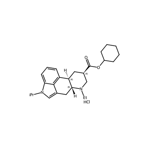 CCN1C[C@H](C(=O)OC2CCCCC2)C[C@@H]2c3cccc4c3c(cn4C(C)C)C[C@H]21.Cl